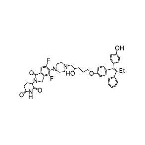 CCC(=C(c1ccc(O)cc1)c1ccc(OCCCC(O)CN2CCN(c3c(F)cc4c(c3F)CN(C3CCC(=O)NC3=O)C4=O)CC2)cc1)c1ccccc1